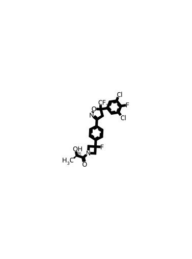 C[C@@H](O)C(=O)N1CC(F)(c2ccc(C3=NOC(c4cc(Cl)c(F)c(Cl)c4)(C(F)(F)F)C3)cc2)C1